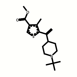 C=C(c1scc(C(=O)OC)c1C)C1CCN(C(C)(C)C)CC1